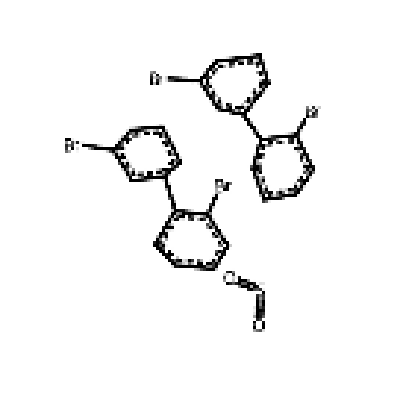 Brc1cccc(-c2ccccc2Br)c1.Brc1cccc(-c2ccccc2Br)c1.O=S=O